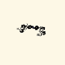 CN1CCC[C@H]1C(=O)N1CCC[C@H]1C(=O)Nc1ccc(/C=C/c2ccc(NC(=O)[C@@H]3CCCN3C(=O)[C@@H]3CCCN3C)cc2)cc1